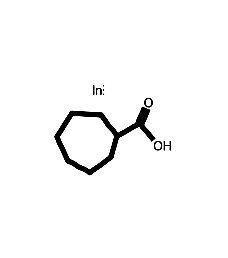 O=C(O)C1CCCCCC1.[In]